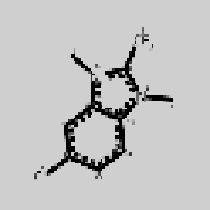 Cn1c(C(F)(F)F)[n+](C)c2cc(Cl)ccc21